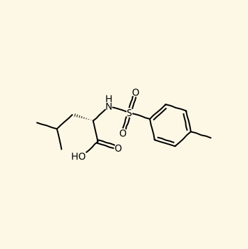 Cc1ccc(S(=O)(=O)N[C@@H](CC(C)C)C(=O)O)cc1